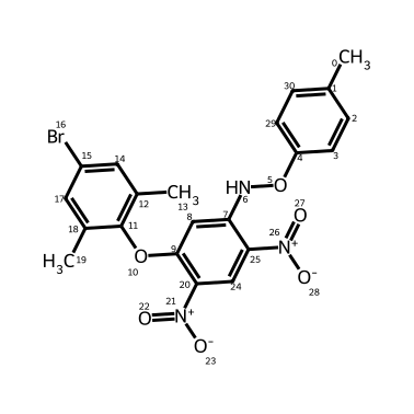 Cc1ccc(ONc2cc(Oc3c(C)cc(Br)cc3C)c([N+](=O)[O-])cc2[N+](=O)[O-])cc1